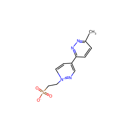 Cc1ccc(-c2cc[n+](CCS(=O)(=O)[O-])nc2)nn1